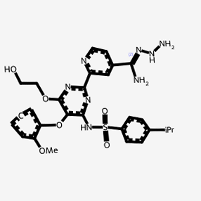 COc1ccccc1Oc1c(NS(=O)(=O)c2ccc(C(C)C)cc2)nc(-c2cc(/C(N)=N/NN)ccn2)nc1OCCO